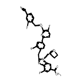 CC(=O)c1cc(F)c2nc(Cc3ccc(-c4ccc(F)c(OCc5ccc(C#N)cc5F)n4)cc3F)n(C[C@@H]3CCO3)c2c1